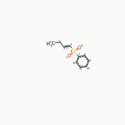 CC/C=C/S(=O)(=O)c1ccccc1